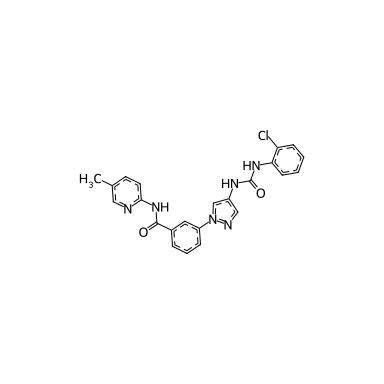 Cc1ccc(NC(=O)c2cccc(-n3cc(NC(=O)Nc4ccccc4Cl)cn3)c2)nc1